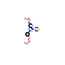 COCOc1cccc(-c2nc(N3CCOCC3)c3ncc(COC)cc3n2)c1